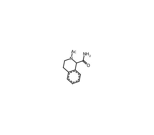 CC(=O)N1CCc2c[c]ccc2C1C(N)=O